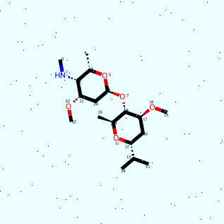 CN[C@@H]1[C@H](C)O[C@@H](O[C@H]2[C@H](C)O[C@@H](C(C)C)C[C@@H]2OC)C[C@@H]1OC